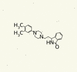 Cc1ccc(N2CCN(CCC3NC(=O)c4ccccc43)CC2)cc1C